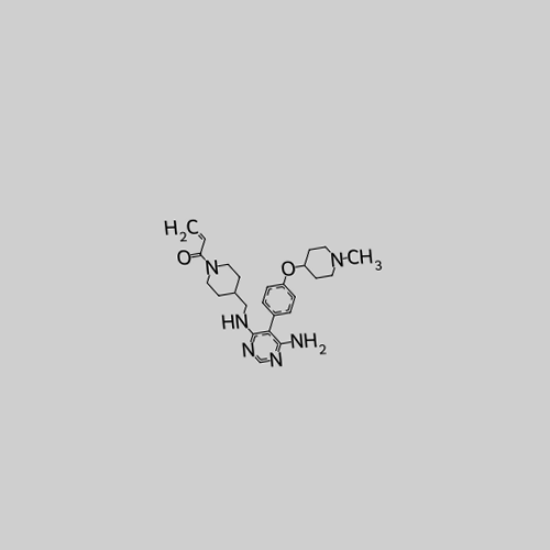 C=CC(=O)N1CCC(CNc2ncnc(N)c2-c2ccc(OC3CCN(C)CC3)cc2)CC1